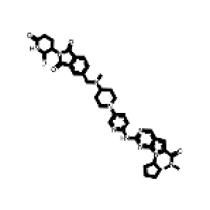 CN(C)C(=O)c1cc2cnc(Nc3ccc(N4CCC(N(C)Cc5ccc6c(c5)C(=O)N(C5CCC(=O)NC5=O)C6=O)CC4)cn3)nc2n1C1CCCC1